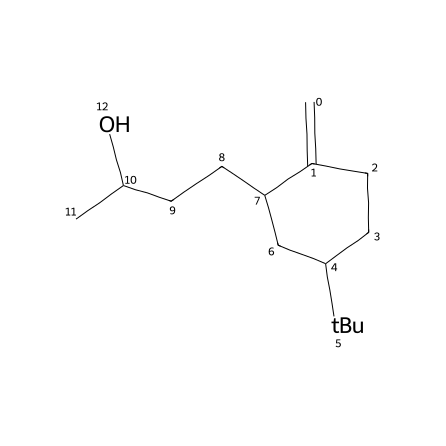 C=C1CCC(C(C)(C)C)CC1CCC(C)O